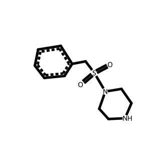 O=S(=O)(Cc1ccccc1)N1CCNCC1